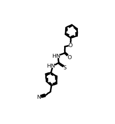 N#CCc1ccc(NC(=S)NC(=O)COc2ccccc2)cc1